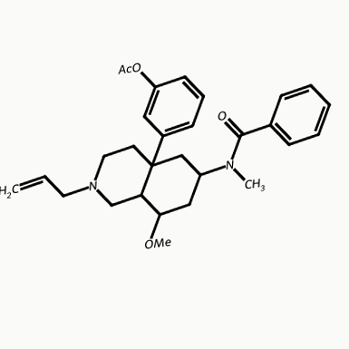 C=CCN1CCC2(c3cccc(OC(C)=O)c3)CC(N(C)C(=O)c3ccccc3)CC(OC)C2C1